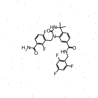 CC1(C)NC(=O)N(Cc2c(F)ccc(C(N)=O)c2F)c2cc(C(=O)NCc3c(F)cc(F)cc3F)ccc21